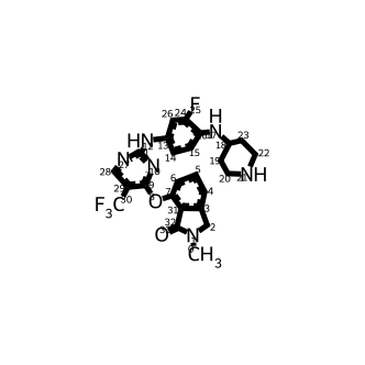 CN1Cc2cccc(Oc3nc(Nc4ccc(NC5CCNCC5)c(F)c4)ncc3C(F)(F)F)c2C1=O